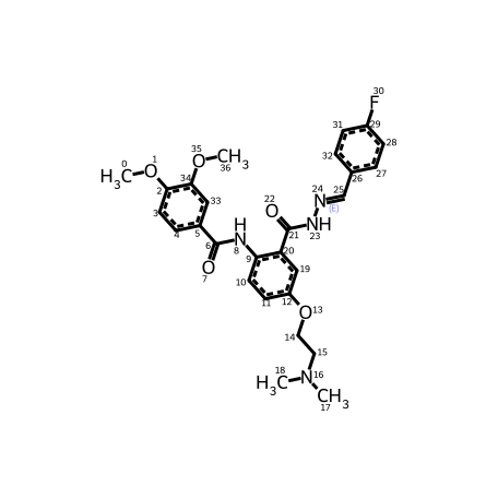 COc1ccc(C(=O)Nc2ccc(OCCN(C)C)cc2C(=O)N/N=C/c2ccc(F)cc2)cc1OC